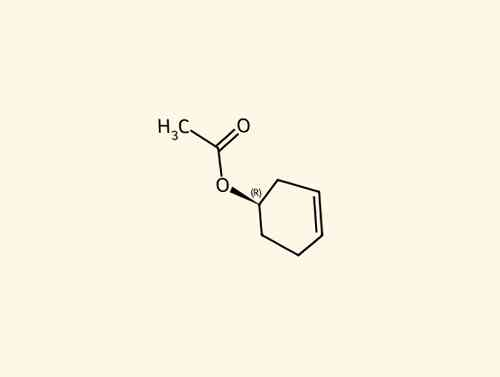 CC(=O)O[C@H]1CC=CCC1